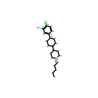 CCCCC[SiH]1CCC(C2CCC(c3ccc(Cl)c(F)c3)CC2)CC1